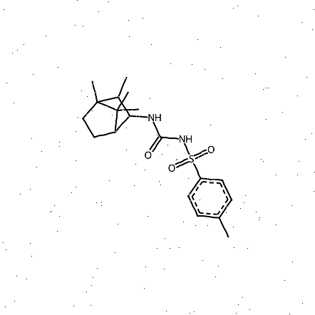 Cc1ccc(S(=O)(=O)NC(=O)NC2C3CCC(C)(C2C)C3(C)C)cc1